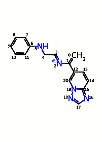 C=C(/N=C/CNc1ccccc1)c1ccc2ncnn2c1